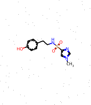 Cn1cnc(S(=O)(=O)NCCc2ccc(O)cc2)c1